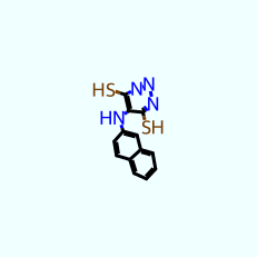 Sc1nnnc(S)c1Nc1ccc2ccccc2c1